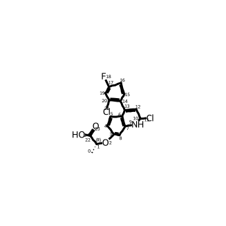 C[C@@H](Oc1ccc2c(c1)NC(Cl)C=C2c1ccc(F)cc1Cl)C(=O)O